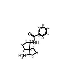 NC1CCCC12CCCC2NC(=O)c1ccccn1